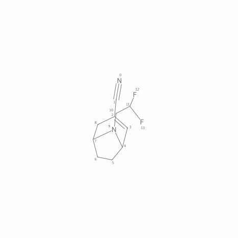 N#CC1=CC2CCC(C1)N2CC(F)F